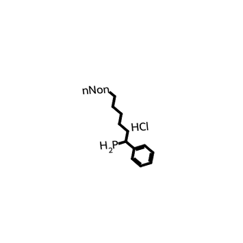 CCCCCCCCCCCCCCC(P)c1ccccc1.Cl